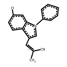 C/C(C#N)=C/c1cn(-c2ccccc2)c2cc(Cl)ccc12